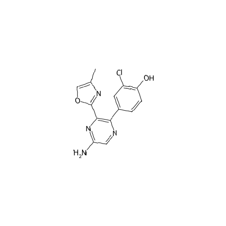 Cc1coc(-c2nc(N)cnc2-c2ccc(O)c(Cl)c2)n1